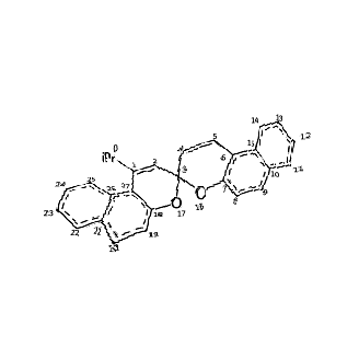 CC(C)C1=CC2(C=Cc3c(ccc4ccccc34)O2)Oc2ccc3ccccc3c21